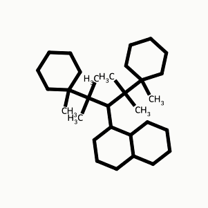 CC1(C(C)(C)C(C2CCCC3CCCCC32)C(C)(C)C2(C)CCCCC2)CCCCC1